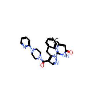 Cc1cc(=O)[nH]c(-n2ncc(C(=O)N3CCN(c4ccccn4)CC3)c2Cc2ccccc2)n1